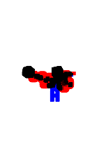 COC(=O)OC1=C(C)NC(C)=C(OC(=O)OCCOc2ccccc2)C1c1ccccc1[N+](=O)[O-]